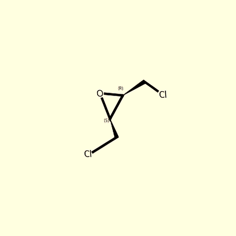 ClC[C@@H]1O[C@@H]1CCl